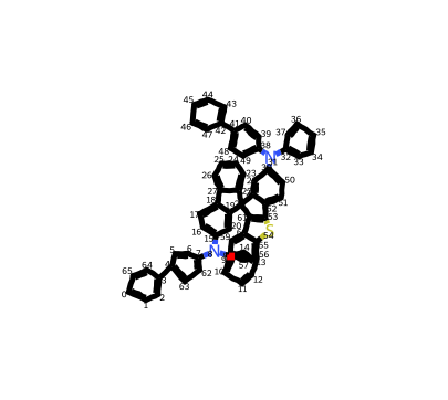 c1ccc(-c2ccc(N(c3ccccc3)c3ccc4c(c3)C3(c5ccccc5-4)c4cc(N(c5ccccc5)c5ccc(-c6ccccc6)cc5)ccc4-c4sc5ccccc5c43)cc2)cc1